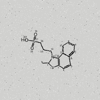 CC1Sc2ccc3ccccc3c2N1CCCS(=O)(=O)O